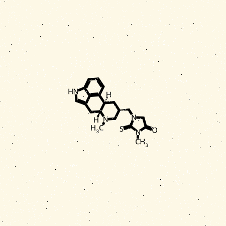 CN1C(=O)CN(C[C@@H]2C[C@@H]3c4cccc5[nH]cc(c45)C[C@H]3N(C)C2)C1=S